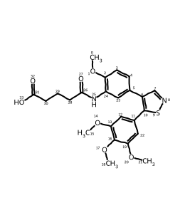 COc1ccc(-c2cnsc2-c2cc(OC)c(OC)c(OC)c2)cc1NC(=O)CCCC(=O)O